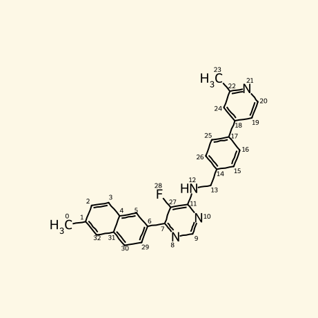 Cc1ccc2cc(-c3ncnc(NCc4ccc(-c5ccnc(C)c5)cc4)c3F)ccc2c1